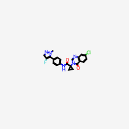 Cn1ncc(F)c1-c1ccc(NC(=O)C2(n3cnc4cc(Cl)ccc4c3=O)CC2)cc1